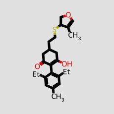 CCc1cc(C)cc(CC)c1C1=C(O)CC(CCSC2COC=C2C)CC1=O